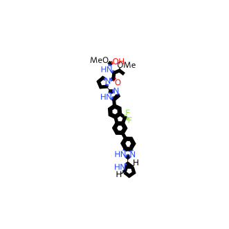 COC(O)NC(C(=O)N1CCC[C@H]1c1ncc(-c2ccc3c(c2)C(F)(F)c2cc(-c4ccc5nc([C@H]6N[C@@H]7CC[C@H]6C7)[nH]c5c4)ccc2-3)[nH]1)[C@@H](C)OC